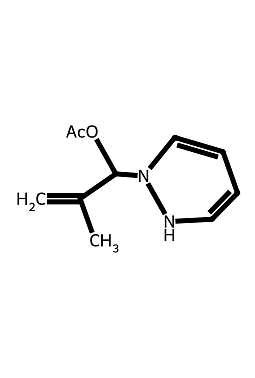 C=C(C)C(OC(C)=O)N1C=CC=CN1